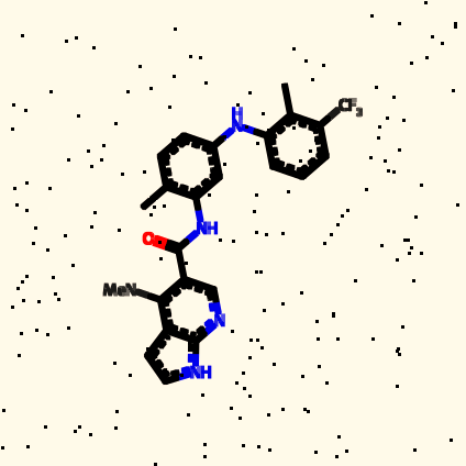 CNc1c(C(=O)Nc2cc(Nc3cccc(C(F)(F)F)c3C)ccc2C)cnc2[nH]ccc12